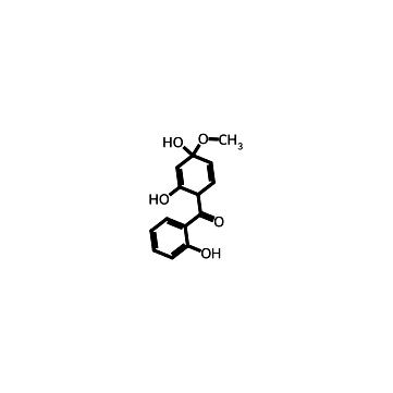 COC1(O)C=CC(C(=O)c2ccccc2O)C(O)=C1